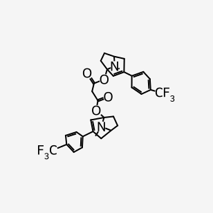 CN1C2CCC1(OC(=O)CC(=O)OC13C=C(c4ccc(C(F)(F)F)cc4)CC(CC1)N3C)C=C(c1ccc(C(F)(F)F)cc1)C2